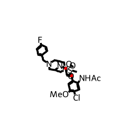 COc1cc(/C=C/C(=O)N2C3CN(Cc4ccc(F)cc4)CC2CN(S(C)(=O)=O)C3)c(NC(C)=O)cc1Cl